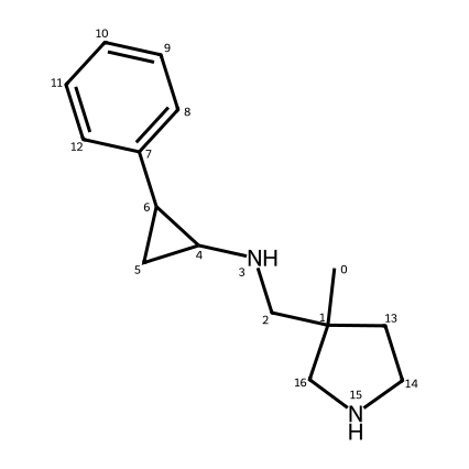 CC1(CNC2CC2c2ccccc2)CCNC1